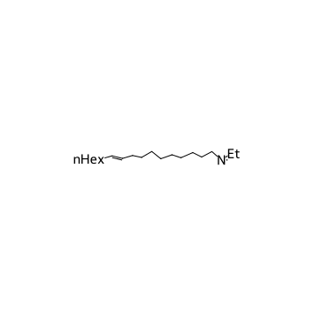 CCCCCCC=CCCCCCCCCC[N]CC